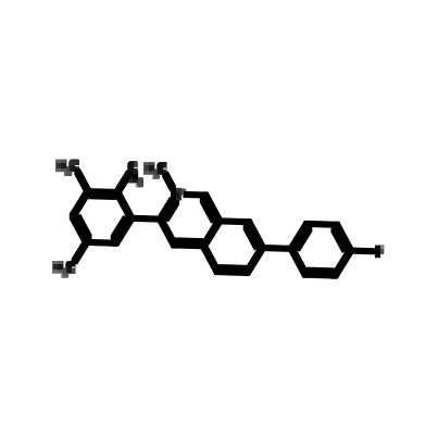 Cc1cc(C)c(C)c(-c2cc3ccc(-c4ccc(F)cc4)cc3c[n+]2C)c1